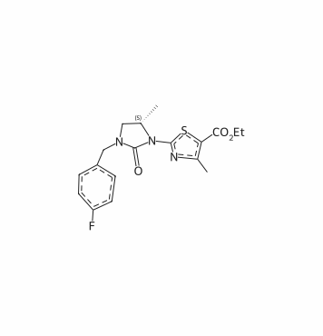 CCOC(=O)c1sc(N2C(=O)N(Cc3ccc(F)cc3)C[C@@H]2C)nc1C